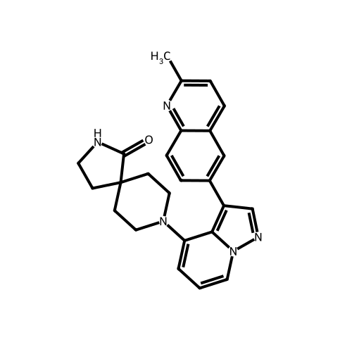 Cc1ccc2cc(-c3cnn4cccc(N5CCC6(CCNC6=O)CC5)c34)ccc2n1